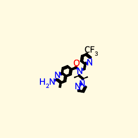 Cc1cc2cc(C(=O)N(Cc3ccc(C(F)(F)F)cn3)[C@H](C)[C@@H](C)n3cccn3)ccc2nc1N